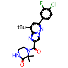 CC(C)(C)c1cc(-c2ccc(Cl)c(F)c2)nn2cc(C(=O)N3CCNC(=O)C3(C)C)nc12